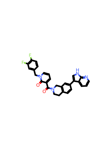 O=C(c1cccn(Cc2ccc(F)c(F)c2)c1=O)N1CCc2ccc(-c3c[nH]c4ncccc34)cc2C1